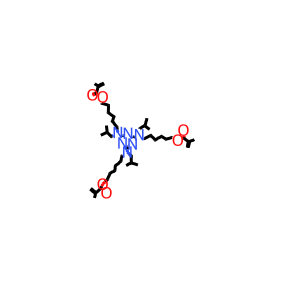 C=C(C)C(=O)OCCCCCCN(CC(C)C)c1nc(N(CCCCCCOC(=O)C(=C)C)CC(C)C)nc(N(CCCCCCOC(=O)C(=C)C)CC(C)C)n1